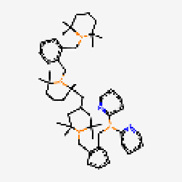 CC1(C)CCCC(C)(C)P1Cc1ccccc1CP1C(C)(C)CCCC1(C)CC1CC(C)(C)P(Cc2ccccc2CP(c2ccccn2)c2ccccn2)C(C)(C)C1